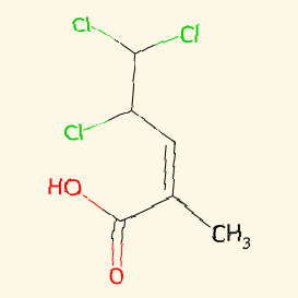 CC(=CC(Cl)C(Cl)Cl)C(=O)O